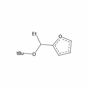 CCC(OC(C)(C)C)c1ccco1